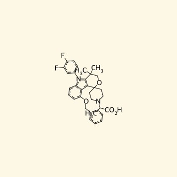 CC(C(=O)O)N1CCC2(CC1)OCC(C)(C)c1c2c2c(OCc3ccccc3)cccc2n1-c1ccc(F)c(F)c1